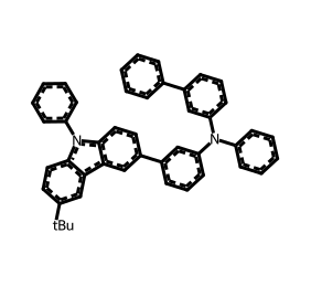 CC(C)(C)c1ccc2c(c1)c1cc(-c3cccc(N(c4ccccc4)c4cccc(-c5ccccc5)c4)c3)ccc1n2-c1ccccc1